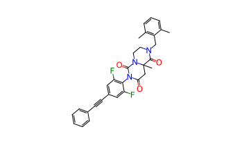 Cc1cccc(C)c1CN1CCN2C(=O)N(c3c(F)cc(C#Cc4ccccc4)cc3F)C(=O)CC2(C)C1=O